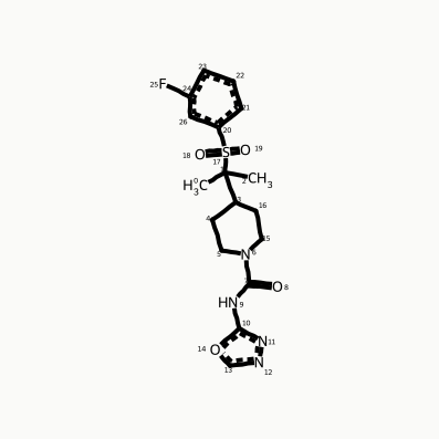 CC(C)(C1CCN(C(=O)Nc2nnco2)CC1)S(=O)(=O)c1cccc(F)c1